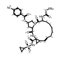 CC(C)(C)OC(=O)NC1CCCCC/C=C/C2CC2(C(=O)NS(=O)(=O)C2CC2)NC(=O)C2CC(OC(=O)c3ccc(C#N)cc3)CN2C1=O